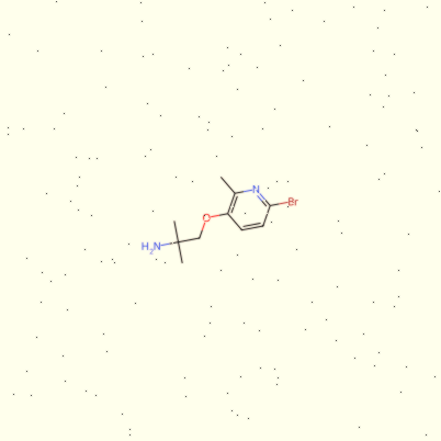 Cc1nc(Br)ccc1OCC(C)(C)N